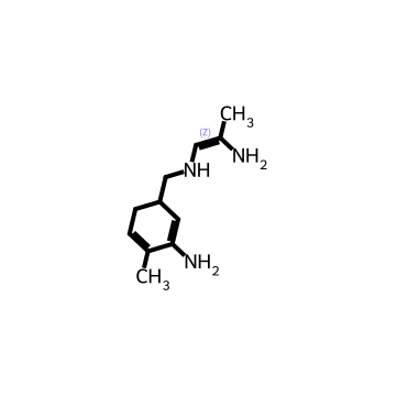 CC1=CCC(CN/C=C(/C)N)C=C1N